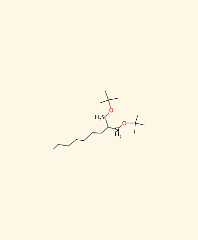 CCCCCCCC([SiH2]OC(C)(C)C)[SiH2]OC(C)(C)C